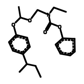 CCC(C)c1ccc(OC(C)OCN(CC)C(=O)Oc2ccccc2)cc1